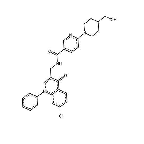 O=C(NCc1cn(-c2ccccc2)c2cc(Cl)ccc2c1=O)c1ccc(N2CCC(CO)CC2)nc1